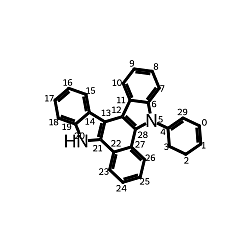 C1=CCCC(n2c3ccccc3c3c4c5ccccc5[nH]c4c4ccccc4c32)=C1